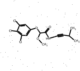 COC(Oc1cc(Cl)c(Cl)c(Cl)c1)C(=O)NC#CC(C)C